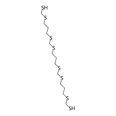 SCSCCCSCSCCCSCSCCCSCS